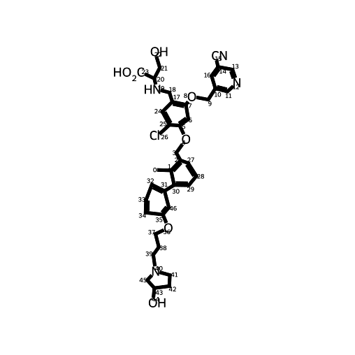 Cc1c(COc2cc(OCc3cncc(C#N)c3)c(CNC(CO)C(=O)O)cc2Cl)cccc1-c1cccc(OCCCN2CCC(O)C2)c1